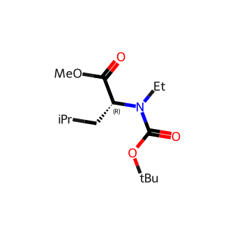 CCN(C(=O)OC(C)(C)C)[C@H](CC(C)C)C(=O)OC